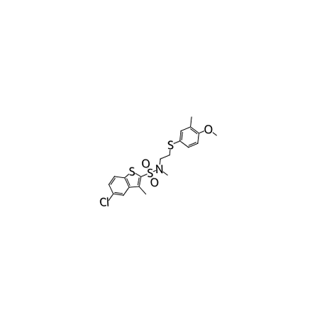 COc1ccc(SCCN(C)S(=O)(=O)c2sc3ccc(Cl)cc3c2C)cc1C